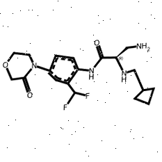 NC[C@@H](NCC1CCC1)C(=O)Nc1ccc(N2CCOCC2=O)cc1C(F)F